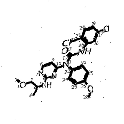 COCC(C)Nc1nccc(N(C(=O)Nc2cc(Cl)ccc2Cl)c2ccc(OC)cc2)n1